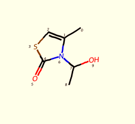 Cc1csc(=O)n1C(C)O